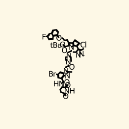 Cc1nn(C)c(C)c1-c1c(Cl)ccc2c(CCCOc3cccc4cc(F)ccc34)c(C(=O)OC(C)(C)C)n(CCN3CCN(C(=O)Cn4c(C)nc5c(C(=O)NC6CCC(=O)NC6=O)cc(Br)cc54)CC3)c12